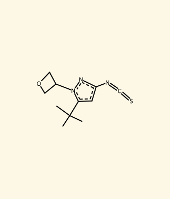 CC(C)(C)c1cc(N=C=S)nn1C1COC1